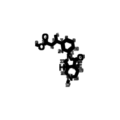 COC(=O)CC(C)c1cccc(N2C[C@@H]3CN(C)CC[C@]3(F)C2=O)c1